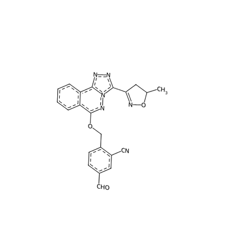 CC1CC(c2nnc3c4ccccc4c(OCc4ccc(C=O)cc4C#N)nn23)=NO1